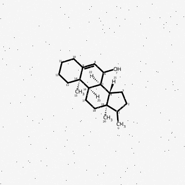 CC1CC[C@H]2[C@@H]3C(O)C=C4CCCC[C@]4(C)[C@@H]3CC[C@]12C